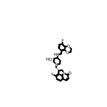 Cl.O=c1ccc2ccc(F)c3c2n1C[C@H]3CN1CCC(NCc2ccc(F)c3c2OCCO3)CC1